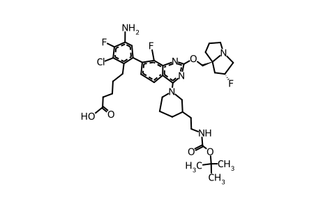 CC(C)(C)OC(=O)NCCC1CCCN(c2nc(OC[C@@]34CCCN3C[C@H](F)C4)nc3c(F)c(-c4cc(N)c(F)c(Cl)c4CCCCC(=O)O)ccc23)C1